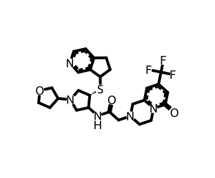 O=C(CN1CCn2c(cc(C(F)(F)F)cc2=O)C1)NC1CN(C2CCOC2)C[C@@H]1SC1CCc2ccncc21